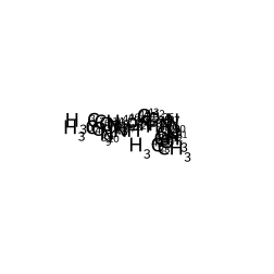 CC(C)(C)OC(=O)N1CCCC1c1ncc(-c2ccc(-c3nc4cc(-c5cnc([C@@H]6CCCN6C(=O)OC(C)(C)C)[nH]5)ccc4o3)cc2)[nH]1